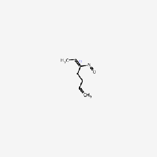 C=CCC/C(=C\C)N=O